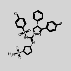 NS(=O)(=O)[C@@H]1CC[C@@H](/N=C(\NS(=O)(=O)c2ccc(Cl)cc2)N2C[C@H](c3ccccc3)C(c3ccc(F)cc3)=N2)C1